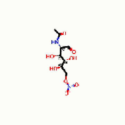 CC(=O)N[C@H](C=O)[C@@H](O)[C@H](O)[C@H](O)CO[N+](=O)[O-]